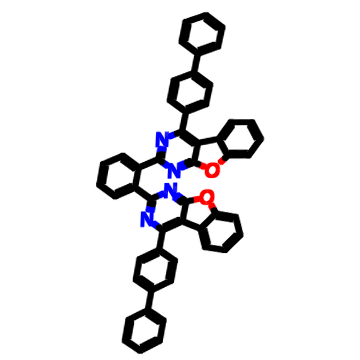 c1ccc(-c2ccc(-c3nc(-c4ccccc4-c4nc(-c5ccc(-c6ccccc6)cc5)c5c(n4)oc4ccccc45)nc4oc5ccccc5c34)cc2)cc1